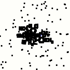 C=C(c1ccn(C)c(=O)c1/C=C\C)[C@H](Nc1cc(Cl)c2ncc(C#N)c(NCC(C)(C)C)c2c1)C1=CN(C23CC(C2)C3)NN1